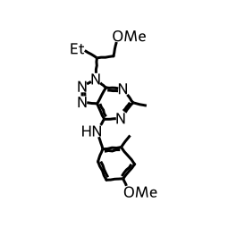 CCC(COC)n1nnc2c(Nc3ccc(OC)cc3C)nc(C)nc21